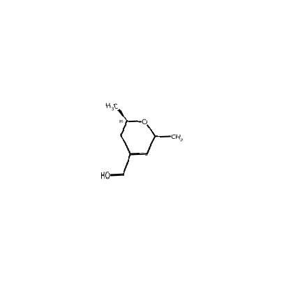 CC1CC(CO)C[C@@H](C)O1